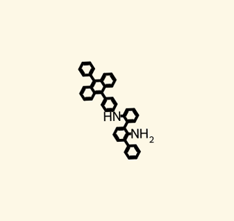 Nc1c(-c2ccccc2)cccc1-c1ccccc1Nc1ccc(-c2c3ccccc3c(-c3ccccc3)c3ccccc23)cc1